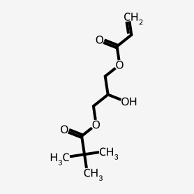 C=CC(=O)OCC(O)COC(=O)C(C)(C)C